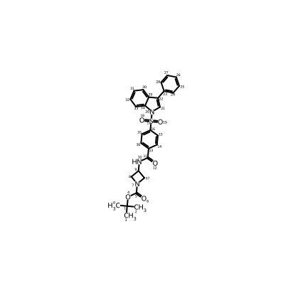 CC(C)(C)OC(=O)N1CC(NC(=O)c2ccc(S(=O)(=O)n3cc(-c4ccccc4)c4ccccc43)cc2)C1